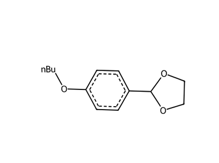 CCCCOc1ccc(C2OCCO2)cc1